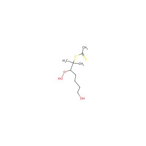 CC(=S)SC(C)(C)C(CCCCO)OO